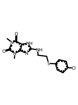 Cn1c(=O)c2[nH]c(NCCSc3ccc(Cl)cc3)nc2n(C)c1=O